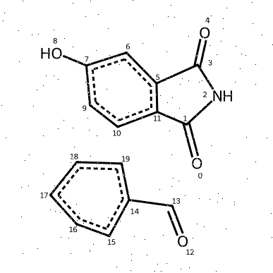 O=C1NC(=O)c2cc(O)ccc21.O=Cc1ccccc1